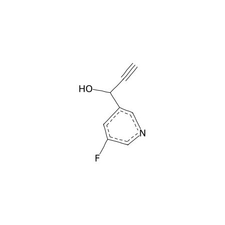 C#CC(O)c1cncc(F)c1